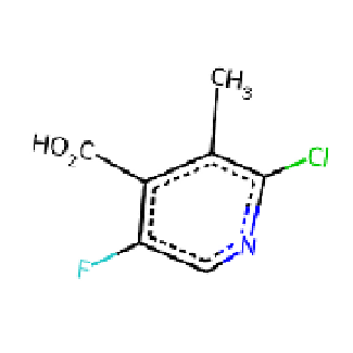 Cc1c(Cl)ncc(F)c1C(=O)O